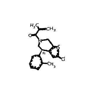 C=C(C)C(=O)N1Cc2sc(Cl)cc2[C@@H](c2ccccc2C)C1